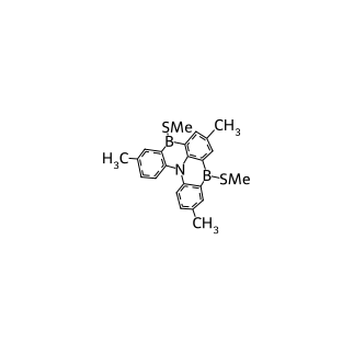 CSB1c2cc(C)ccc2N2c3ccc(C)cc3B(SC)c3cc(C)cc1c32